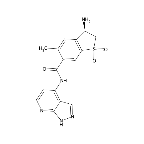 Cc1cc2c(cc1C(=O)Nc1ccnc3[nH]ncc13)S(=O)(=O)C[C@@H]2N